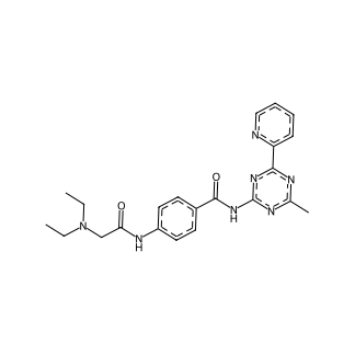 CCN(CC)CC(=O)Nc1ccc(C(=O)Nc2nc(C)nc(-c3ccccn3)n2)cc1